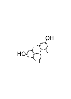 Cc1cc(O)cc(C)c1C(CI)c1c(C)cc(O)cc1C